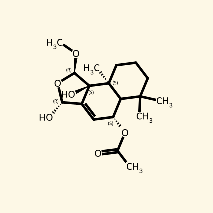 CO[C@@H]1O[C@@H](O)C2=C[C@@H](OC(C)=O)C3C(C)(C)CCC[C@]3(C)[C@]21O